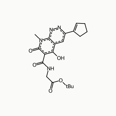 Cn1c(=O)c(C(=O)NCC(=O)OC(C)(C)C)c(O)c2cc(C3=CCCC3)nnc21